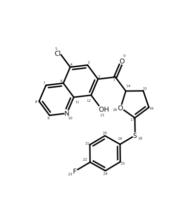 O=C(c1cc(Cl)c2cccnc2c1O)C1CC=C(Sc2ccc(F)cc2)O1